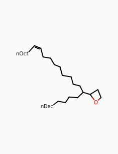 CCCCCCCC/C=C\CCCCCCCCC(CCCCCCCCCCCCCC)[C]1CCO1